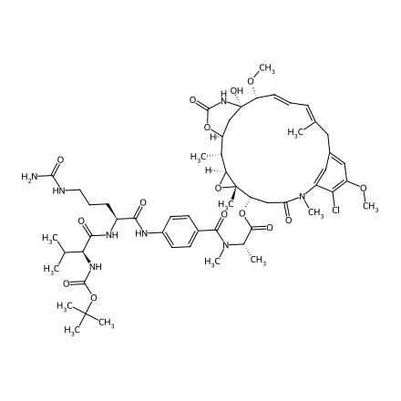 COc1cc2cc(c1Cl)N(C)C(=O)C[C@H](OC(=O)[C@H](C)N(C)C(=O)c1ccc(NC(=O)[C@H](CCCNC(N)=O)NC(=O)[C@@H](NC(=O)OC(C)(C)C)C(C)C)cc1)[C@]1(C)O[C@H]1[C@H](C)[C@@H]1C[C@@](O)(NC(=O)O1)[C@H](OC)/C=C/C=C(\C)C2